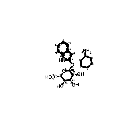 NC1CCCCC1.O=C(O)[C@H]1O[C@@H](Oc2cc3ccccc3[nH]2)[C@H](O)[C@@H](O)[C@@H]1O